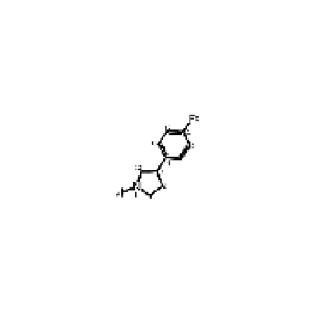 Fc1ccc(C2CCN(I)C2)cc1